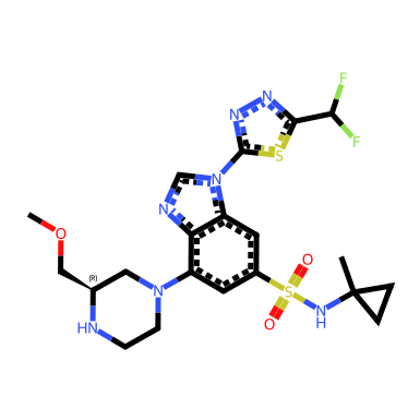 COC[C@H]1CN(c2cc(S(=O)(=O)NC3(C)CC3)cc3c2ncn3-c2nnc(C(F)F)s2)CCN1